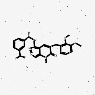 COc1cccc(Cc2cc3c(N[C@H](C)c4cccc(C(F)F)c4)nncc3n(C)c2=O)c1OC